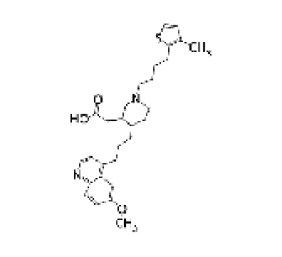 COc1ccc2nccc(CCC[C@@H]3CCN(CCCCc4sccc4C)C[C@@H]3CC(=O)O)c2c1